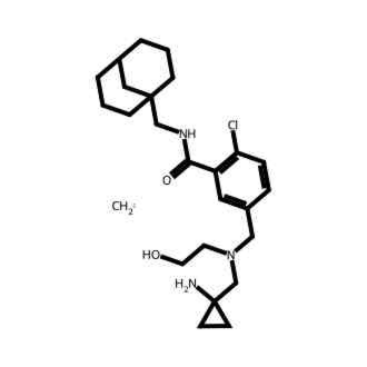 NC1(CN(CCO)Cc2ccc(Cl)c(C(=O)NCC34CCCC(CCC3)C4)c2)CC1.[CH2]